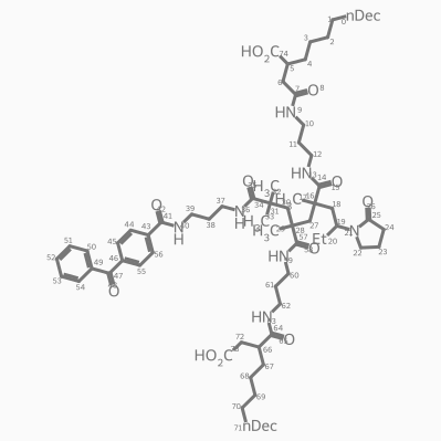 CCCCCCCCCCCCCCC(CC(=O)NCCCNC(=O)C(C)(CC(CC)N1CCCC1=O)CC(C)(CC(C)(C)C(=O)NCCCNC(=O)c1ccc(C(=O)c2ccccc2)cc1)C(=O)NCCCNC(=O)C(CCCCCCCCCCCCCC)CC(=O)O)C(=O)O